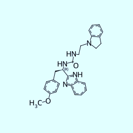 COc1ccc(C[C@@H](NC(=O)NCCN2CCc3ccccc32)c2nc3ccccc3[nH]2)cc1